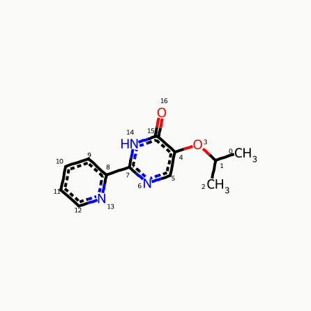 CC(C)Oc1cnc(-c2ccccn2)[nH]c1=O